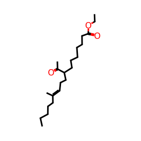 CCCCC/C(C)=C/CCC(CCCCCCC(=O)OCC)C(C)=O